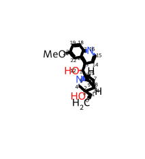 C=C[C@@]1(O)C[N@]2CC[C@H]1C[C@H]2[C@H](O)c1ccnc2ccc(OC)cc12